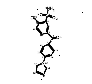 NS(=O)(=O)c1cc(C(=O)c2ccc(N3CC=CC3)cc2)ccc1Cl